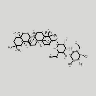 CC1(C)CC[C@]2(C(=O)O)CC[C@]3(C)C(=CC[C@@H]4[C@@]5(C)CC[C@H](O[C@@H]6O[C@H](CO)[C@H](O[C@@H]7O[C@H](CO)[C@H](O)[C@H](O)[C@H]7O)[C@H](O)[C@H]6O)C(C)(C)[C@@H]5CC[C@]43C)[C@@H]2C1